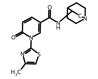 Cc1csc(-n2cc(C(=O)NC3CN4CCC3CC4)ccc2=O)n1